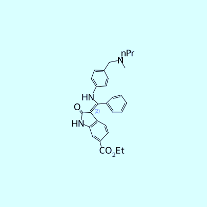 CCCN(C)Cc1ccc(N/C(=C2\C(=O)Nc3cc(C(=O)OCC)ccc32)c2ccccc2)cc1